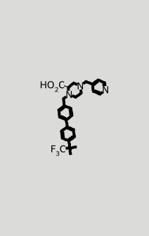 CC(C)(c1ccc(-c2ccc(CN3CCN(Cc4ccncc4)C[C@H]3C(=O)O)cc2)cc1)C(F)(F)F